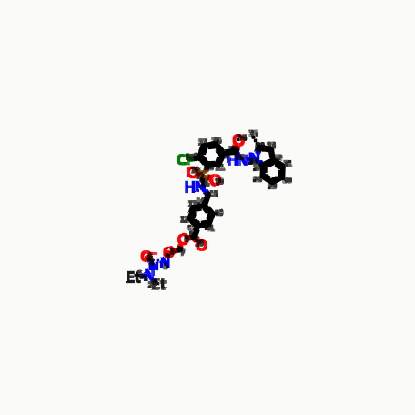 CCN(CC)[N+]([O-])=NOCOC(=O)c1ccc(CNS(=O)(=O)c2cc(C(=O)NN3c4ccccc4C[C@H]3C)ccc2Cl)cc1